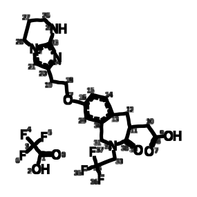 O=C(O)C(F)(F)F.O=C(O)CC1Cc2ccc(OCCc3cn4c(n3)NCCC4)cc2CN(CC(F)(F)F)C1=O